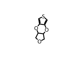 c1scc2c1OC1COCC1O2